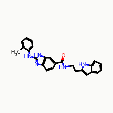 Cc1ccccc1Nc1nc2ccc(C(=O)NCCc3cc4ccccc4[nH]3)cc2[nH]1